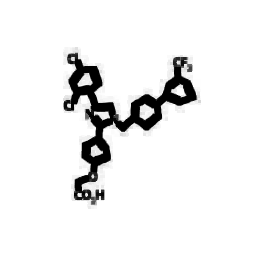 O=C(O)COc1ccc(-c2nc(-c3ccc(Cl)cc3Cl)cn2Cc2ccc(-c3cccc(C(F)(F)F)c3)cc2)cc1